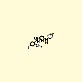 CN1CCC(Nc2cccc(NC(=O)c3ccc(F)cc3C(F)(F)F)n2)CC1